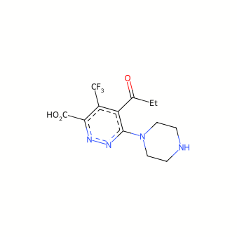 CCC(=O)c1c(N2CCNCC2)nnc(C(=O)O)c1C(F)(F)F